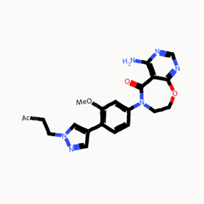 COc1cc(N2CCOc3ncnc(N)c3C2=O)ccc1-c1cnn(CCC(C)=O)c1